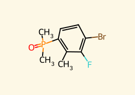 Cc1c(P(C)(C)=O)ccc(Br)c1F